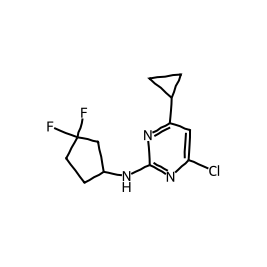 FC1(F)CCC(Nc2nc(Cl)cc(C3CC3)n2)C1